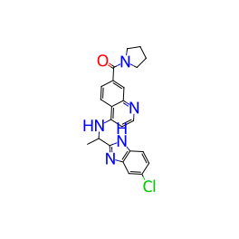 CC(Nc1ccnc2cc(C(=O)N3CCCC3)ccc12)c1nc2cc(Cl)ccc2[nH]1